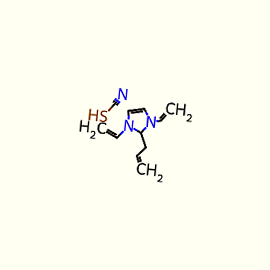 C=CCC1N(C=C)C=CN1C=C.N#CS